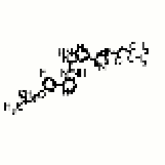 CC(C)CC(=O)Nc1cncc(-c2cnc3[nH]nc(-c4nc5c(-c6cc(F)cc(OCCN(C)C)c6)nccc5[nH]4)c3c2)c1